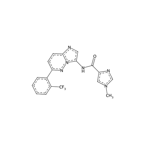 Cn1cnc(C(=O)Nc2cnc3ccc(-c4ccccc4C(F)(F)F)nn23)c1